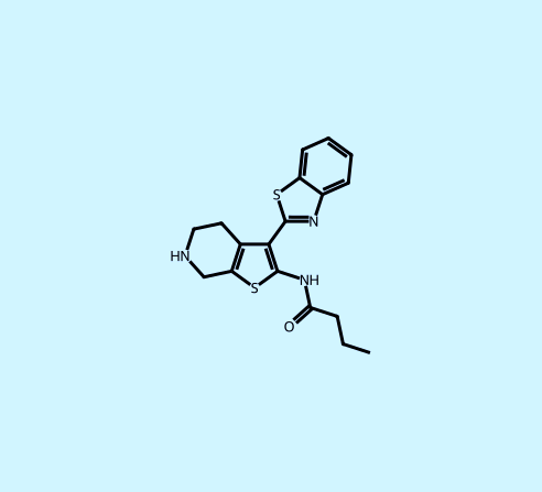 CCCC(=O)Nc1sc2c(c1-c1nc3ccccc3s1)CCNC2